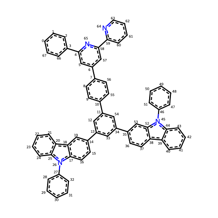 c1ccc(-c2cc(-c3ccc(-c4cc(-c5ccc6c(c5)c5ccccc5n6-c5ccccc5)cc(-c5ccc6c7ccccc7n(-c7ccccc7)c6c5)c4)cc3)cc(-c3ccccn3)n2)cc1